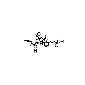 CC#CC[C@H](C)[C@H](O)/C=C/[C@@H]1[C@H]2c3cccc(CCCC(=O)O)c3O[C@H]2C[C@H]1OC(C)=O